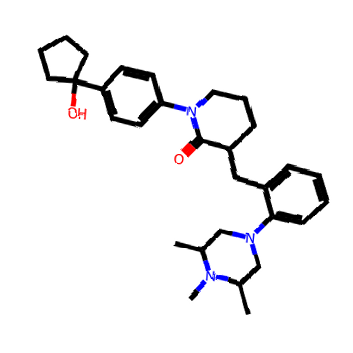 CC1CN(c2ccccc2CC2CCCN(c3ccc(C4(O)CCCC4)cc3)C2=O)CC(C)N1C